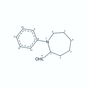 O=CC1CCCCCN1c1ccccc1